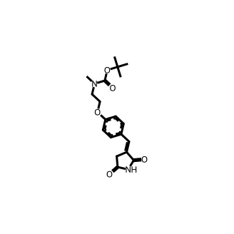 CN(CCOc1ccc(/C=C2\CC(=O)NC2=O)cc1)C(=O)OC(C)(C)C